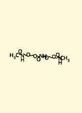 CNC(=O)COCCOCCNC(=O)COCCOCCNC(C)=O